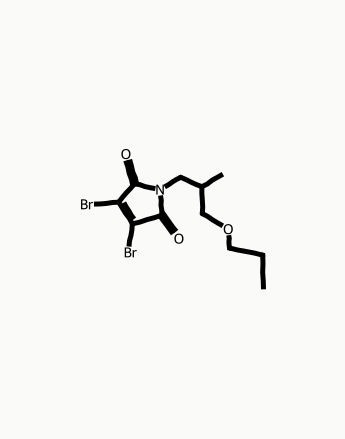 CCCOCC(C)CN1C(=O)C(Br)=C(Br)C1=O